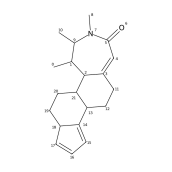 CC1C2C(=CC(=O)N(C)C1C)CCC1C3=CC=CC3CCC12